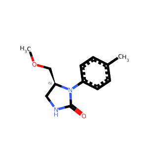 COC[C@@H]1CNC(=O)N1c1ccc(C)cc1